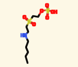 CCCCCNCCS(=O)(=O)CCOS(=O)(=O)O